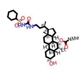 CC[C@H]1[C@@H](OC(=O)NC)[C@@H]2[C@H](CC[C@]3(C)[C@@H]([C@H](C)CCNC(=O)NS(=O)(=O)C4CCCCC4)CC[C@@H]23)[C@@]2(C)CC[C@@H](O)C[C@@H]12